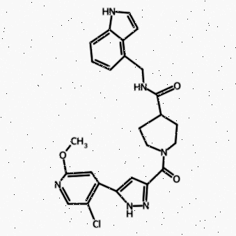 COc1cc(-c2cc(C(=O)N3CCC(C(=O)NCc4cccc5[nH]ccc45)CC3)n[nH]2)c(Cl)cn1